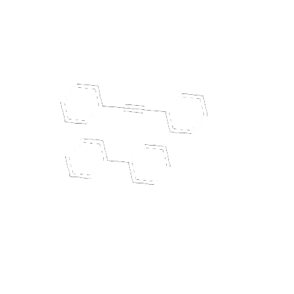 C(#Cc1ccccc1)c1ccccc1.c1ccc(-c2ccccc2)cc1